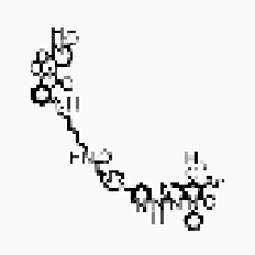 CC(=O)c1c(C)c2cnc(Nc3ccc(N4CCN(CC(=O)NCCCCCCNc5cccc6c5C(=O)N(C5CCC(=O)NC5=O)C6=O)CC4)cn3)nc2n(C2CCCC2)c1=O